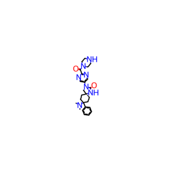 CN(C)[C@]1(c2ccccc2)CC[C@@]2(CC1)CN(c1cnc(C(=O)N3CCNCC3)nc1)C(=O)N2